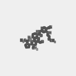 COCCNc1cc(NC(=O)N2CCCc3cc(CN(C)C(=O)[C@@H]4CCCN4C(C)C)c(C=O)nc32)ncc1C#N